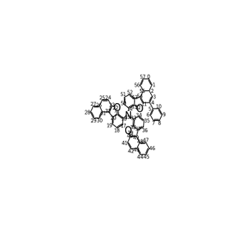 C1=CC2C=C(c3ccccc3)c3oc4c(N(c5cccc6c5oc5ccc7ccccc7c56)c5cccc6c5oc5ccc7ccccc7c56)cccc4c3C2C=C1